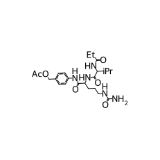 CCC(=O)NC(C(=O)NC(CCCNC(N)=O)C(=O)Nc1ccc(COC(C)=O)cc1)C(C)C